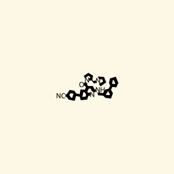 N#Cc1ccc(-c2ccc3nc(NCc4cccc(-c5ccccc5)c4)cc(C(=O)N4CCC[C@H]4CN4CCCC4)c3c2)cc1